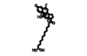 CC12CC(O)[C@@]3(F)C(C[C@H](F)C4=CC(=O)C=CC43C)C1CCC2C(=O)SCCCCCCCCCCP(O)O